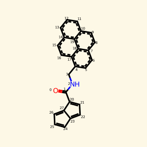 O=C(NCc1ccc2ccc3cccc4ccc1c2c34)C1=CC=C2C=CC=C21